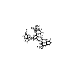 CCc1c(F)ccc2cc(O)cc(N3CCc4c(nc(OC[C@@]56CCCN5C[C@H](F)C6)nc4N4CCCC5(CNC(O)N5)C4)C3)c12